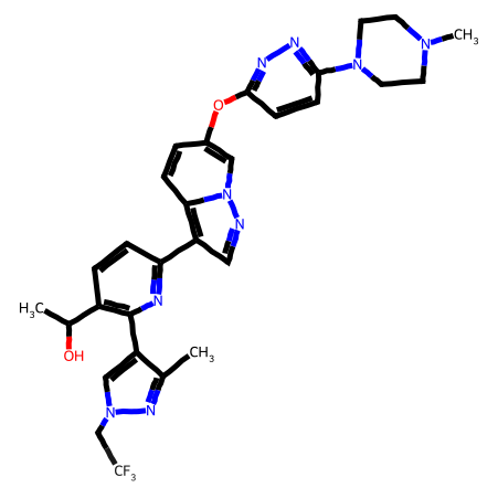 Cc1nn(CC(F)(F)F)cc1-c1nc(-c2cnn3cc(Oc4ccc(N5CCN(C)CC5)nn4)ccc23)ccc1C(C)O